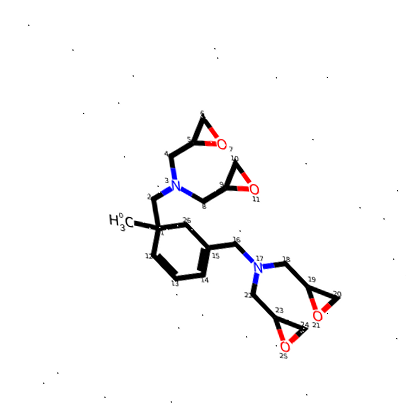 CC1(CN(CC2CO2)CC2CO2)C=CC=C(CN(CC2CO2)CC2CO2)C1